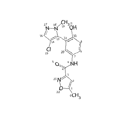 Cc1cc(C(=O)Nc2ccc(O)c(-c3c(Cl)cnn3C)c2)no1